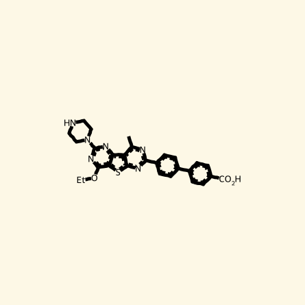 CCOc1nc(N2CCNCC2)nc2c1sc1nc(-c3ccc(-c4ccc(C(=O)O)cc4)cc3)nc(C)c12